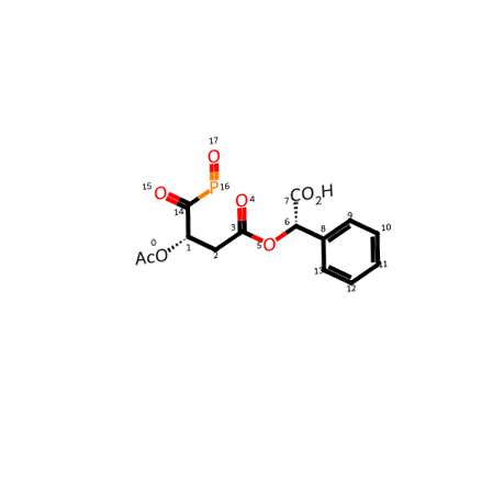 CC(=O)O[C@@H](CC(=O)O[C@H](C(=O)O)c1ccccc1)C(=O)P=O